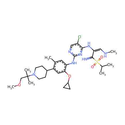 CN/C=C(/Nc1nc(Nc2cc(C)c(C3CCN(C(C)(C)COC)CC3)cc2OC2CC2)ncc1Cl)C(=N)S(=O)(=O)C(C)C